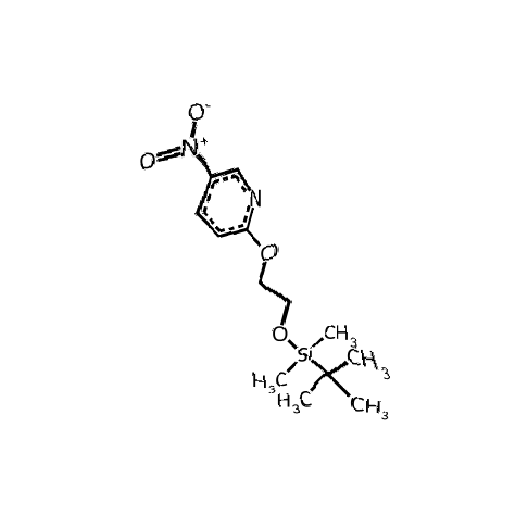 CC(C)(C)[Si](C)(C)OCCOc1ccc([N+](=O)[O-])cn1